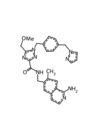 COCc1nc(C(=O)NCc2cc3ccnc(N)c3cc2C)nn1Cc1ccc(Cn2cccn2)cc1